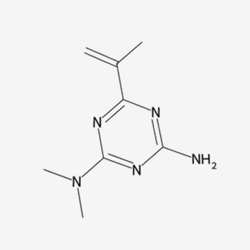 C=C(C)c1nc(N)nc(N(C)C)n1